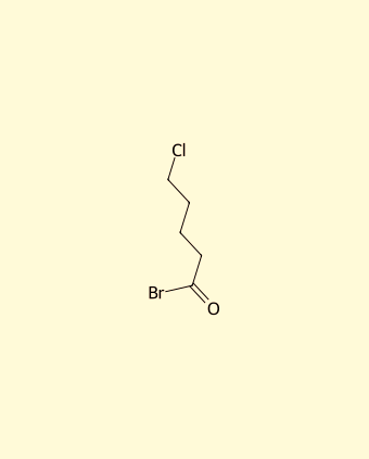 O=C(Br)CCCCCl